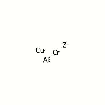 [Al].[Cr].[Cu].[Zr]